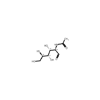 CC(=O)N[C@@H](C=O)[C@@H](O)[C@H](O)[C@H](S)CO